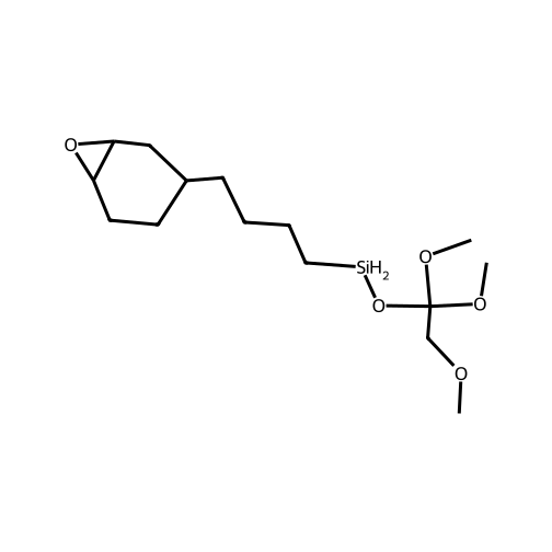 COCC(OC)(OC)O[SiH2]CCCCC1CCC2OC2C1